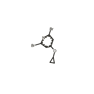 Brc1cc(OC2CC2)cc(Br)n1